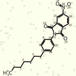 CCCCCCCc1ccc(N2C(=O)c3ccc([N+](=O)[O-])cc3C2=O)cc1